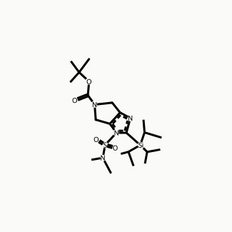 CC(C)[Si](c1nc2c(n1S(=O)(=O)N(C)C)CN(C(=O)OC(C)(C)C)C2)(C(C)C)C(C)C